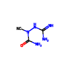 N#CN(NC(=N)N)C(N)=O